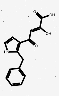 O=C(O)C(O)=CC(=O)c1cc[nH]c1Cc1ccccc1